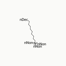 CCCCCCCCCCCCCCCCCCC[N+](CCCCCCCCC)(CCCCCCCCC)CCCCCCCCC